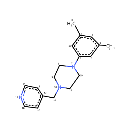 Cc1cc(C)cc(N2CCN(Cc3ccncc3)CC2)c1